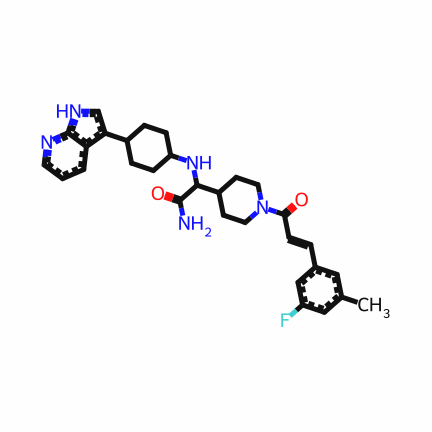 Cc1cc(F)cc(/C=C/C(=O)N2CCC(C(NC3CCC(c4c[nH]c5ncccc45)CC3)C(N)=O)CC2)c1